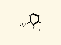 Cc1nc[c]c(I)c1C